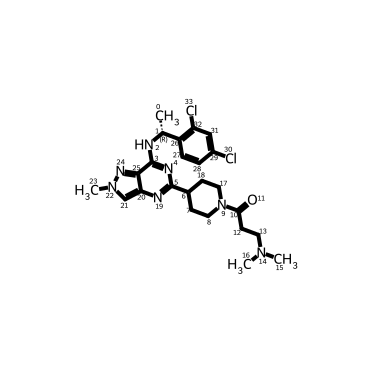 C[C@@H](Nc1nc(C2CCN(C(=O)CCN(C)C)CC2)nc2cn(C)nc12)c1ccc(Cl)cc1Cl